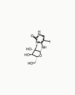 O=c1nc(N[C@@H]2O[C@H](CO)[C@@H](O)[C@@]2(O)F)c(I)c[nH]1